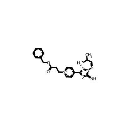 CC(P)/C=N\n1nc(-c2cc[n+](CCC(=O)OCc3ccccc3)cc2)sc1=N